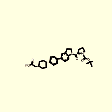 CC(C)(C)OC(=O)N1CCC[C@H]1C(=O)N1CCc2cc(-c3ccc([C@H]4CC[C@H](CC(=O)O)CC4)cc3)ccc21